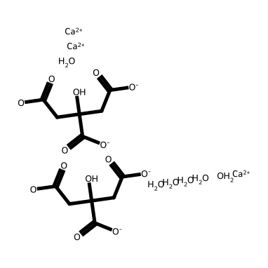 O.O.O.O.O.O.O=C([O-])CC(O)(CC(=O)[O-])C(=O)[O-].O=C([O-])CC(O)(CC(=O)[O-])C(=O)[O-].[Ca+2].[Ca+2].[Ca+2]